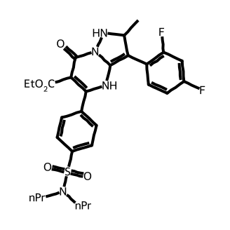 CCCN(CCC)S(=O)(=O)c1ccc(C2=C(C(=O)OCC)C(=O)N3NC(C)C(c4ccc(F)cc4F)=C3N2)cc1